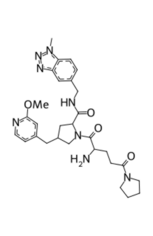 COc1cc(CC2CC(C(=O)NCc3ccc4c(c3)nnn4C)N(C(=O)C(N)CCC(=O)N3CCCC3)C2)ccn1